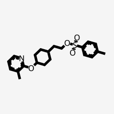 Cc1ccc(S(=O)(=O)OCCC2CCC(Oc3ncccc3C)CC2)cc1